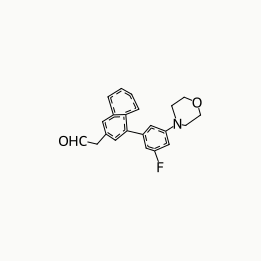 O=CCc1cc(-c2cc(F)cc(N3CCOCC3)c2)c2ccccc2c1